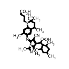 Cc1cc2c(cc1/N=C1\C(C#N)=C(C(OO)C3C(C)CC(C)CC3C)c3nnc(C)n31)C(C)CC(C)(C)N2CCCC(=O)O